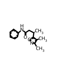 Cc1noc([C@@H](C)CC(=O)Nc2ccccc2)c1C